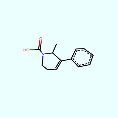 CC1C(c2ccccc2)=CCCN1C(=O)O